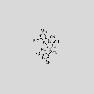 Cc1c(F)/c(=C(\C#N)c2cc(C(F)(F)F)nc(C(F)(F)F)c2)c(C#N)c(F)/c1=C(/C#N)c1cc(C(F)(F)F)nc(C(F)(F)F)c1